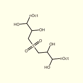 CCCCCCCCC(O)C(O)CS(=O)(=O)CC(O)C(O)CCCCCCCC